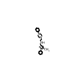 Cc1cc(CNCCN2CCN(c3ccccc3)CC2)nn1-c1ccccc1